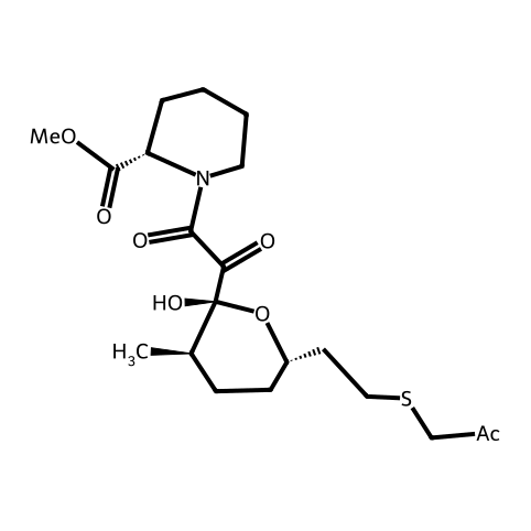 COC(=O)[C@@H]1CCCCN1C(=O)C(=O)[C@]1(O)O[C@H](CCSCC(C)=O)CC[C@H]1C